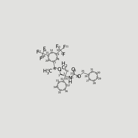 C=C[C@](CO[C@H](C)c1cc(C(F)(F)F)cc(C(F)(F)F)c1)(NC(=O)OCc1ccccc1)c1ccccc1